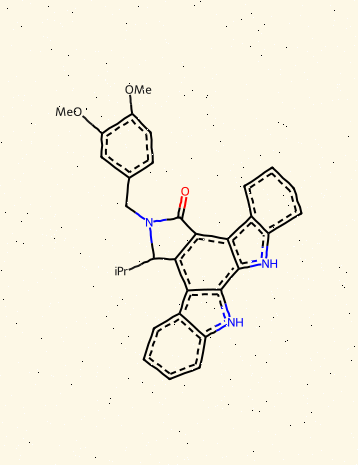 COc1ccc(CN2C(=O)c3c(c4c5ccccc5[nH]c4c4[nH]c5ccccc5c34)C2C(C)C)cc1OC